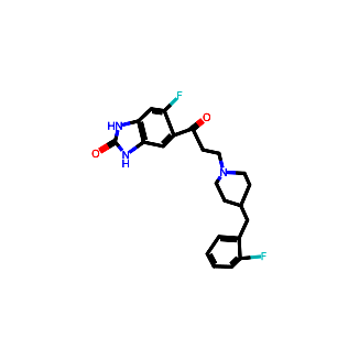 O=C(CCN1CCC(Cc2ccccc2F)CC1)c1cc2[nH]c(=O)[nH]c2cc1F